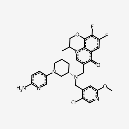 COc1cc(CN(Cc2cn3c4c(c(F)c(F)cc4c2=O)OCC3C)[C@H]2CCCN(c3ccc(N)nc3)C2)c(Cl)cn1